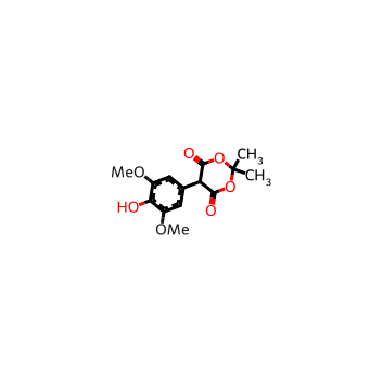 COc1cc(C2C(=O)OC(C)(C)OC2=O)cc(OC)c1O